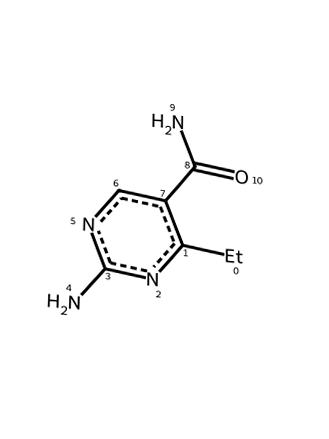 CCc1nc(N)ncc1C(N)=O